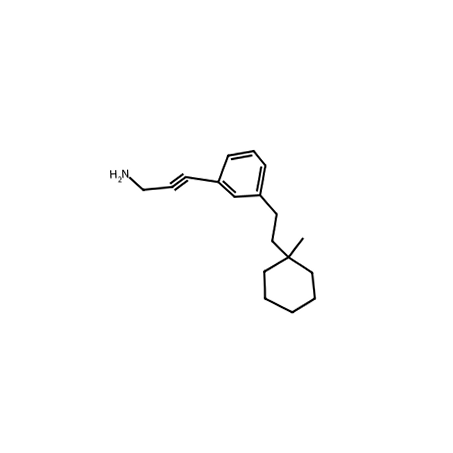 CC1(CCc2cccc(C#CCN)c2)CCCCC1